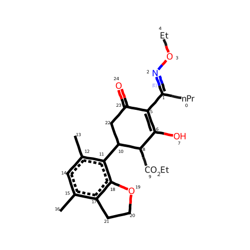 CCC/C(=N\OCC)C1=C(O)C(C(=O)OCC)C(c2c(C)cc(C)c3c2OCC3)CC1=O